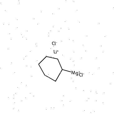 [Cl-].[Cl-].[Li+].[Mg+][CH]1CCCCC1